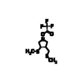 CSCC1CN(OC(=O)C(F)(F)F)CC1SC